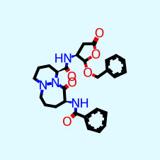 O=C1C[C@H](NC(=O)[C@@H]2CCCN3CCC[C@H](NC(=O)c4ccccc4)C(=O)N23)C(OCc2ccccc2)O1